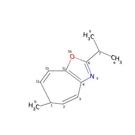 CC1C=Cc2nc(C(C)C)oc2C=C1